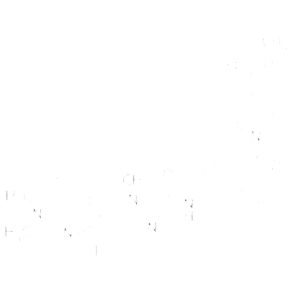 COC(=O)C1CCN(C(=O)c2ccc(NC(=O)c3ncc(-c4cc(F)c(N(C)C)nc4F)n3C)cc2Cl)CC1